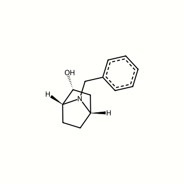 O[C@@H]1C[C@@H]2CC[C@H]1N2Cc1ccccc1